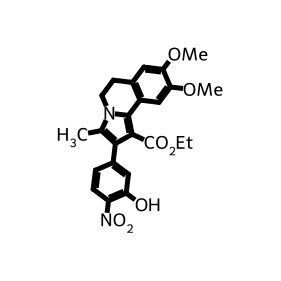 CCOC(=O)c1c(-c2ccc([N+](=O)[O-])c(O)c2)c(C)n2c1-c1cc(OC)c(OC)cc1CC2